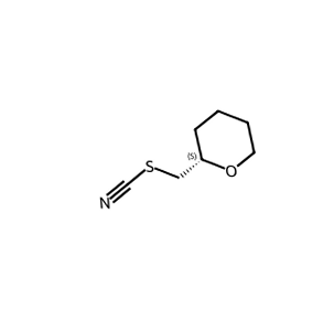 N#CSC[C@@H]1CCCCO1